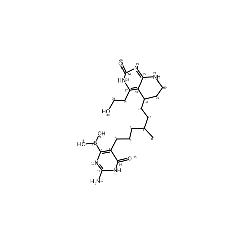 CC(CCCc1c(B(O)O)nc(N)[nH]c1=O)CCC1CCNc2nc(=O)[nH]c(CCO)c21